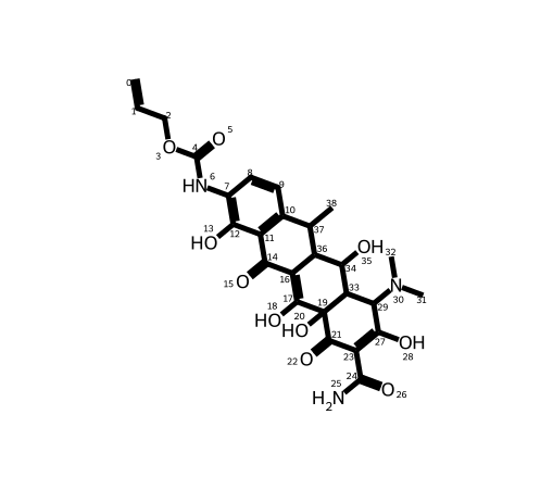 C=CCOC(=O)Nc1ccc2c(c1O)C(=O)C1=C(O)C3(O)C(=O)C(C(N)=O)=C(O)C(N(C)C)C3C(O)C1C2C